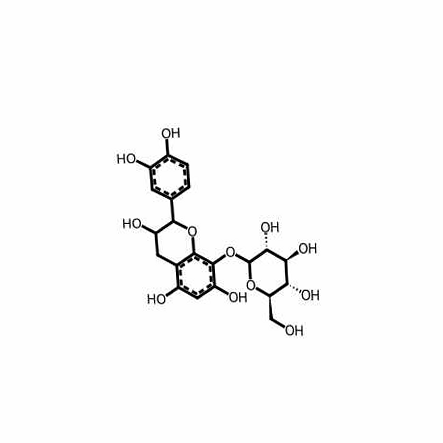 OC[C@H]1OC(Oc2c(O)cc(O)c3c2OC(c2ccc(O)c(O)c2)C(O)C3)[C@H](O)[C@@H](O)[C@@H]1O